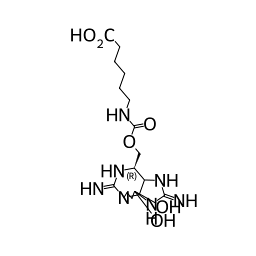 N=C1NC2[C@H](COC(=O)NCCCCCC(=O)O)NC(=N)N3CCC(O)(O)C23N1